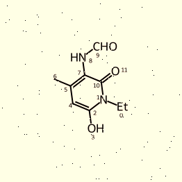 CCn1c(O)cc(C)c(NC=O)c1=O